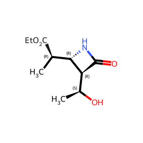 CCOC(=O)[C@H](C)[C@@H]1NC(=O)[C@H]1[C@H](C)O